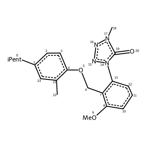 CCCC(C)c1ccc(OCc2c(OC)cccc2-n2nnn(C)c2=O)c(C)c1